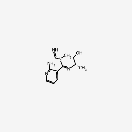 C[C@@H](CO)/N=C(/c1cccnc1N)N(C)C=N